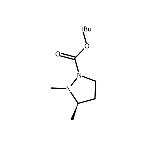 C[C@@H]1CCN(C(=O)OC(C)(C)C)N1C